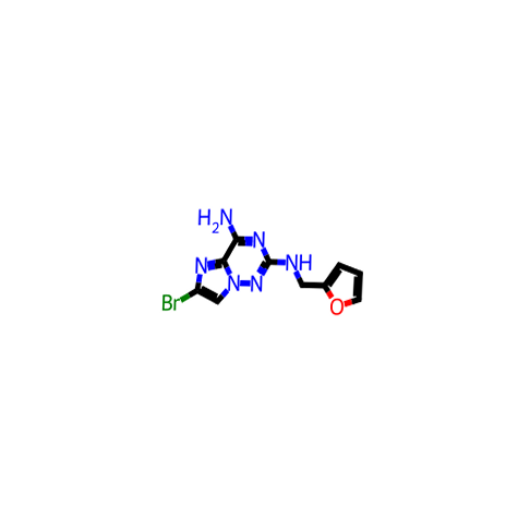 Nc1nc(NCc2ccco2)nn2cc(Br)nc12